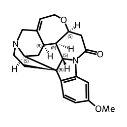 COc1ccc2c(c1)N1C(=O)C[C@@H]3OCC=C4CN5CC[C@]26[C@@H]5C[C@@H]4[C@@H]3[C@H]16